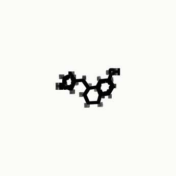 Oc1ccc2c(c1)C(Cc1c[nH]cn1)CCC2